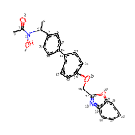 CC(=O)N(O)C(C)c1ccc(-c2ccc(OCc3nc4ccccc4o3)cc2)cc1